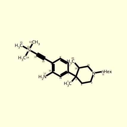 CCCCCCN1CCC(C)(c2ccc(C#C[Si](C)(C)C)c(N)c2)C(C)C1